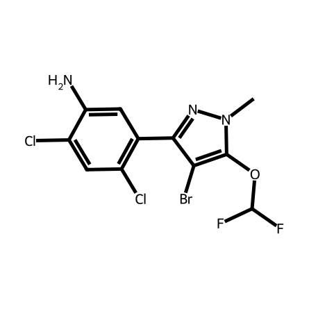 Cn1nc(-c2cc(N)c(Cl)cc2Cl)c(Br)c1OC(F)F